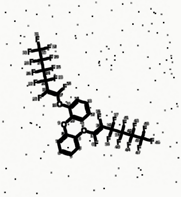 FC(Oc1ccccc1Oc1ccccc1OC(F)=C(F)C(F)(F)C(F)(F)C(F)(F)C(F)(F)F)=C(F)C(F)(F)C(F)(F)C(F)(F)C(F)(F)F